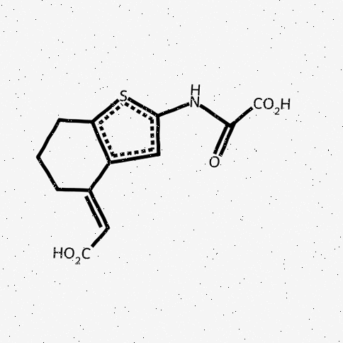 O=C(O)C=C1CCCc2sc(NC(=O)C(=O)O)cc21